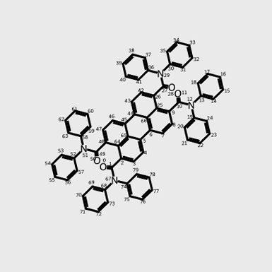 O=C(c1ccc2c3ccc(C(=O)N(c4ccccc4)c4ccccc4)c4c(C(=O)N(c5ccccc5)c5ccccc5)ccc(c5ccc(C(=O)N(c6ccccc6)c6ccccc6)c1c25)c43)N(c1ccccc1)c1ccccc1